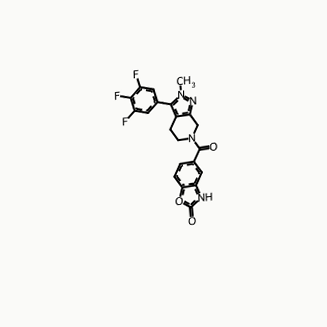 Cn1nc2c(c1-c1cc(F)c(F)c(F)c1)CCN(C(=O)c1ccc3oc(=O)[nH]c3c1)C2